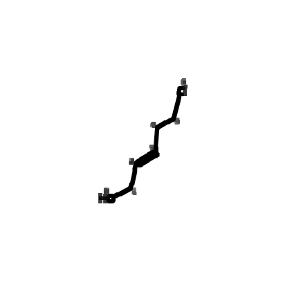 OCC=CCCCl